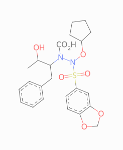 CC(O)C(Cc1ccccc1)N(C(=O)O)N(OC1CCCC1)S(=O)(=O)c1ccc2c(c1)OCO2